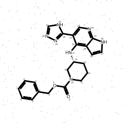 O=C(OCc1ccccc1)N1CCC[C@@H](Nc2c(-c3nnc[nH]3)cnc3[nH]ccc23)C1